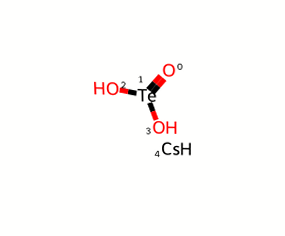 O=[Te](O)O.[CsH]